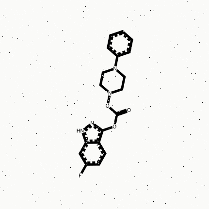 O=C(Oc1n[nH]c2cc(F)ccc12)ON1CCN(c2ccccc2)CC1